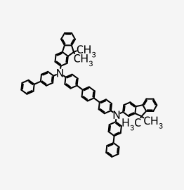 CC1(C)c2ccccc2-c2ccc(N(c3ccc(-c4ccccc4)cc3)c3ccc(-c4ccc(-c5ccc(N(c6ccc(-c7ccccc7)cc6)c6ccc7c(c6)C(C)(C)c6ccccc6-7)cc5)cc4)cc3)cc21